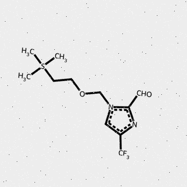 CS(C)(C)CCOCn1cc(C(F)(F)F)nc1C=O